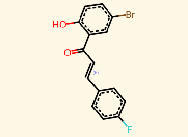 O=C(/C=C/c1ccc(F)cc1)c1cc(Br)ccc1O